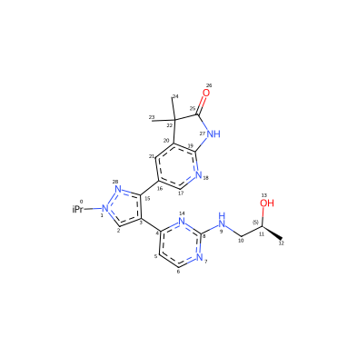 CC(C)n1cc(-c2ccnc(NC[C@H](C)O)n2)c(-c2cnc3c(c2)C(C)(C)C(=O)N3)n1